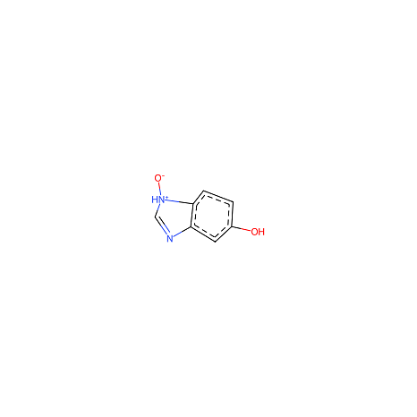 [O-][NH+]1C=Nc2cc(O)ccc21